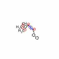 COc1cc(C(=O)N2CCN(C(=O)C=Cc3cccc(-c4ccccc4)c3)CC2)cc(OC)c1OC